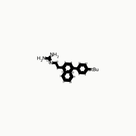 CC(C)(C)c1ccc(-c2ccc(CCN=C(N)N)c3ccccc23)cc1